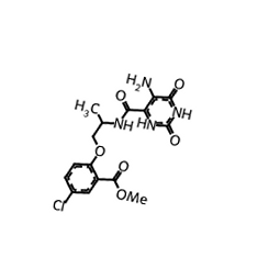 COC(=O)c1cc(Cl)ccc1OCC(C)NC(=O)c1[nH]c(=O)[nH]c(=O)c1N